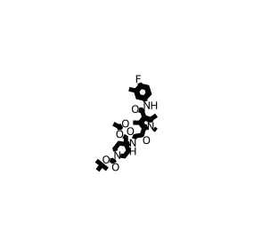 CC(=O)OCC1(NC(=O)C(=O)c2c(C)c(C(=O)Nc3ccc(F)c(C)c3)c(C)n2C)CCN(C(=O)OC(C)(C)C)CC1